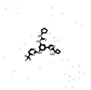 O=C(Nc1cc(Nc2nccc(C(F)(F)F)n2)cc(-c2cnc(C3(O)CCC3)s2)c1)NC1CCCC1